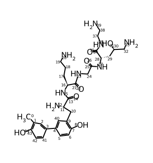 Cc1cc(-c2ccc(O)c(C[C@H](N)C(=O)N[C@@H](CCCN)C(=O)NCC(=O)N[C@@H](C[C@@H](O)CN)C(=O)NCCN)c2)ccc1O